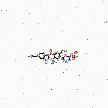 C#Cc1ccc2c(c1)[nH]c1c2c(=O)c2cc(C)c(-c3cncc(OS(=O)(=O)F)c3)cc2n1C(C)C